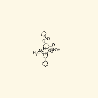 COC(=O)N1CC(OC(=O)N2CCCC2)C[C@H](C(=O)NO)[C@H]1C(=O)N1CC[C@@H](c2ccccc2)C1